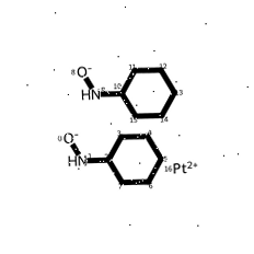 [O-]NC1CCCCC1.[O-]NC1CCCCC1.[Pt+2]